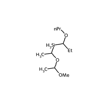 CCCOC(CC)[SiH2]C(C)OC(C)OC